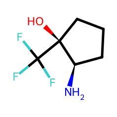 N[C@@H]1CCC[C@@]1(O)C(F)(F)F